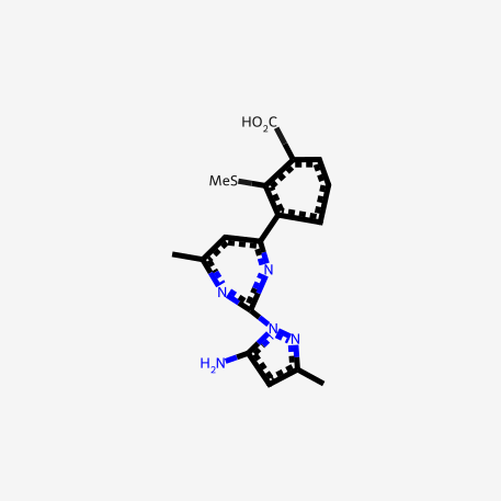 CSc1c(C(=O)O)cccc1-c1cc(C)nc(-n2nc(C)cc2N)n1